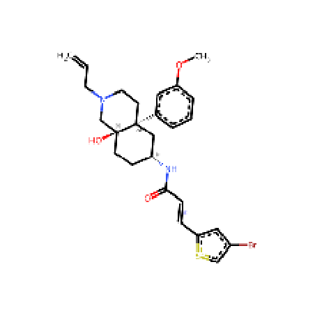 C=CCN1CC[C@@]2(c3cccc(OC)c3)C[C@H](NC(=O)/C=C/c3cc(Br)cs3)CC[C@]2(O)C1